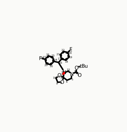 CC(C)(C)OC(=O)N1CCC2(OCCO2)C2(CCN(C(c3ccc(F)cc3)c3ccc(F)cc3)C2)C1